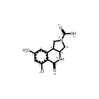 Cc1cc(Cl)c2c(c1)C1CN(C(=O)O)CC1NC2=O